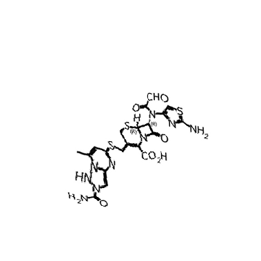 CC1=CC(SCC2=C(C(=O)O)N3C(=O)[C@@H](N(C(=O)C=O)c4csc(N)n4)[C@H]3SC2)=NC2=CN(C(N)=O)NN12